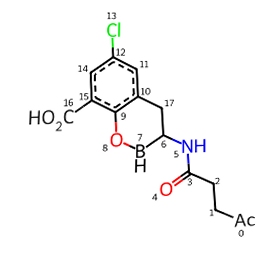 CC(=O)CCC(=O)NC1BOc2c(cc(Cl)cc2C(=O)O)C1